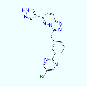 Brc1cnc(-c2cccc(Cc3nnc4ccc(-c5cn[nH]c5)nn34)c2)nc1